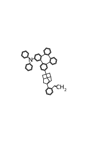 C=Cc1ccccc1C12CC3CC4(c5ccc6c(c5)-c5ccccc5-c5ccccc5-c5ccc(N(c7ccccc7)c7ccccc7)cc5-6)CC(C1)C34C2